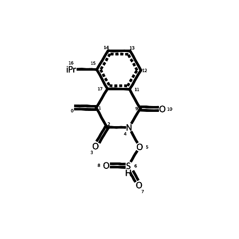 C=C1C(=O)N(O[SH](=O)=O)C(=O)c2cccc(C(C)C)c21